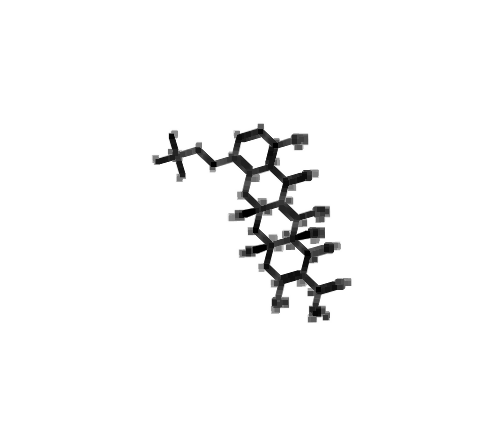 C[Si](C)(C)CCc1ccc(O)c2c1C[C@H]1C[C@H]3CC(O)=C(C(N)=O)C(=O)[C@@]3(O)C(O)=C1C2=O